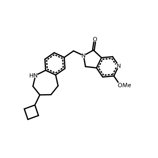 COc1cc2c(cn1)C(=O)N(Cc1ccc3c(c1)CCC(C1CCC1)CN3)C2